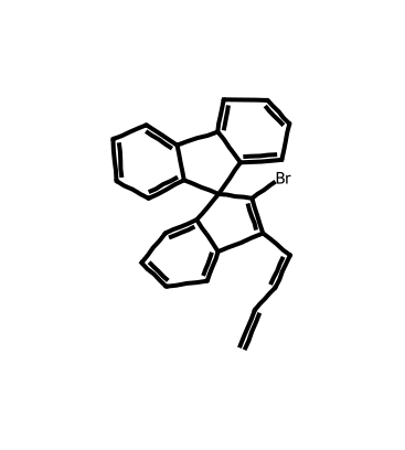 C=C/C=C\C1=C(Br)C2(c3ccccc31)c1ccccc1-c1ccccc12